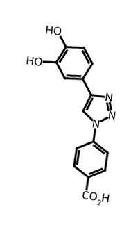 O=C(O)c1ccc(-n2cc(-c3ccc(O)c(O)c3)nn2)cc1